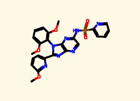 COc1cccc(-c2nc3ncc(NS(=O)(=O)c4ccccn4)nc3n2-c2c(OC)cccc2OC)n1